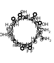 CCCC[C@H]1C(=O)N2CCC[C@@H]2C(=O)N[C@@H](COC=O)C(=O)N[C@@H](C(C)C)C(=O)N(C)[C@@H](Cc2ccccc2)C(=O)N[C@@H](Cc2ccc(O)cc2)C(=O)N2CCC[C@@H]2C(=O)N[C@@H](Cc2c[nH]c3ccccc23)C(=O)N[C@@H](Cc2ccc(O)cc2)C(=O)N[C@@H](CCCN)C(=O)N[C@H](C(=O)NCC(N)=O)CSCC(=O)N[C@@H](Cc2cc(F)c(F)c(F)c2)C(=O)N(C)[C@@H](Cc2ccccc2)C(=O)N1C